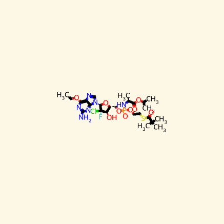 CCOc1nc(N)nc2c1ncn2[C@@H]1O[C@H](COP(=O)(N[C@@H](C)C(=O)OC(C)C)OCCSC(=O)C(C)(C)C)[C@@H](O)[C@@]1(F)Cl